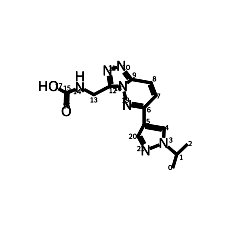 CC(C)n1cc(-c2ccc3nnc(CNC(=O)O)n3n2)cn1